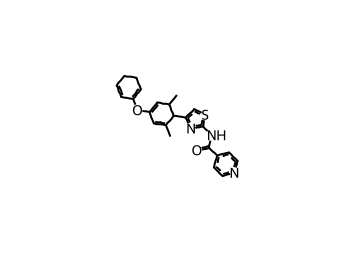 CC1=CC(OC2=CCCC=C2)=CC(C)C1c1csc(NC(=O)c2ccncc2)n1